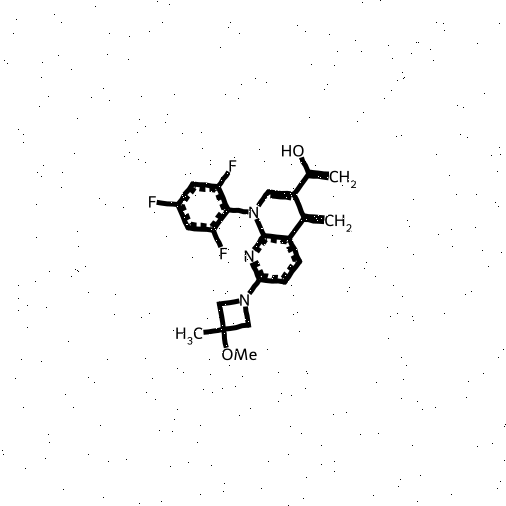 C=C(O)C1=CN(c2c(F)cc(F)cc2F)c2nc(N3CC(C)(OC)C3)ccc2C1=C